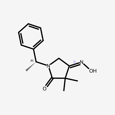 C[C@H](c1ccccc1)N1C/C(=N/O)C(C)(C)C1=O